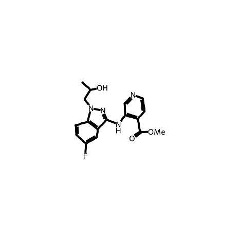 COC(=O)c1ccncc1Nc1nn(CC(C)O)c2ccc(F)cc12